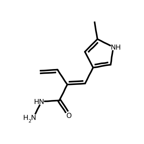 C=C/C(=C\c1c[nH]c(C)c1)C(=O)NN